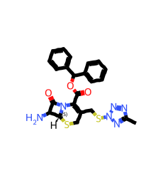 Cc1nnn(SCC2=C(C(=O)OC(c3ccccc3)c3ccccc3)N3C(=O)C(N)[C@@H]3SC2)n1